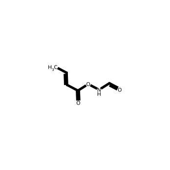 CC=CC(=O)ONC=O